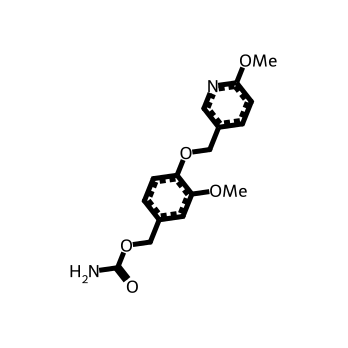 COc1ccc(COc2ccc(COC(N)=O)cc2OC)cn1